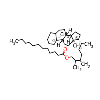 CCCCCCCCCCCC(=O)OCC(C)C(C)CCC(C)[C@H]1CC[C@H]2[C@@H]3CCC4CCCC[C@]4(C)[C@H]3CC[C@]12C